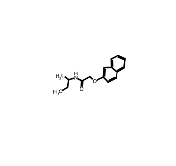 CCC(C)NC(=O)COc1ccc2ccccc2c1